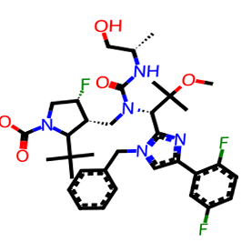 COC(C)(C)[C@H](c1nc(-c2cc(F)ccc2F)cn1Cc1ccccc1)N(C[C@@H]1C(C(C)(C)C)N(C(=O)O)C[C@@H]1F)C(=O)N[C@@H](C)CO